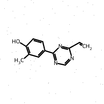 C=Cc1ncnc(-c2ccc(O)c(C)c2)n1